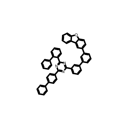 c1ccc(-c2ccc(-c3nc(-c4cccc(-c5cccc(-c6ccc7oc8ccccc8c7c6)c5)c4)nc(-c4ccccc4-c4ccccc4)n3)cc2)cc1